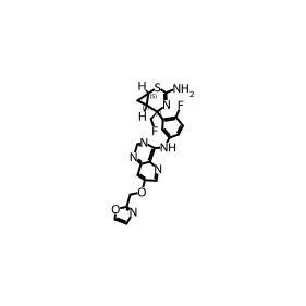 NC1=N[C@](CF)(c2cc(Nc3ncnc4cc(OCc5ncco5)cnc34)ccc2F)[C@@H]2C[C@@H]2S1